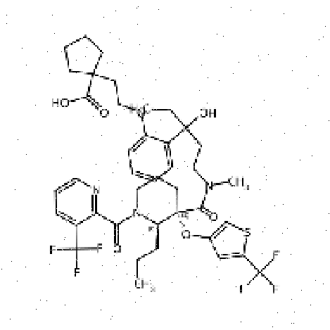 CCC[C@H]1N(C(=O)c2ncccc2C(F)(F)F)CCC[C@@]1(Oc1csc(C(F)(F)F)c1)C(=O)N(C)CCC(O)(CC)c1ccccc1OCCC1(C(=O)O)CCCC1